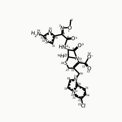 CO/N=C(\C(=O)N[C@@H]1C(=O)N2C(C(=O)[O-])=C(Cn3cc[n+]4cc(Cl)ccc34)CS[C@@H]12)c1csc(N)n1